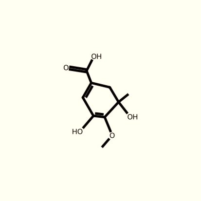 COC1=C(O)C=C(C(=O)O)CC1(C)O